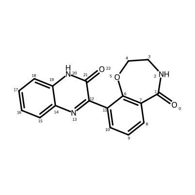 O=C1NCCOc2c1cccc2-c1nc2ccccc2[nH]c1=O